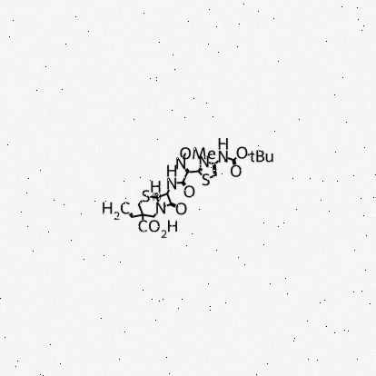 C=CC1(C(=O)O)CS[C@@H]2C(NC(=O)C(=NOC)c3nc(NC(=O)OC(C)(C)C)cs3)C(=O)N2C1